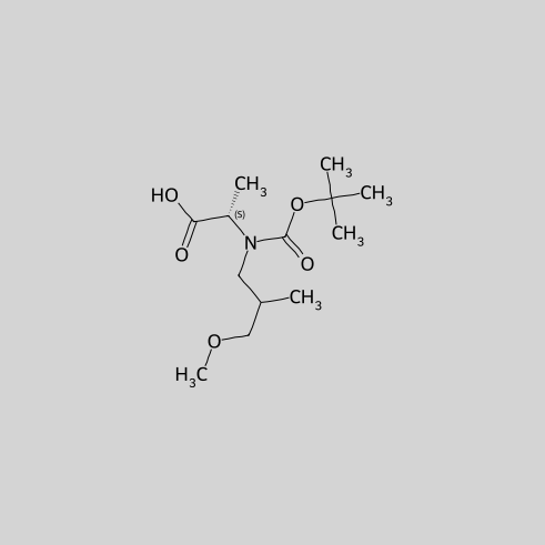 COCC(C)CN(C(=O)OC(C)(C)C)[C@@H](C)C(=O)O